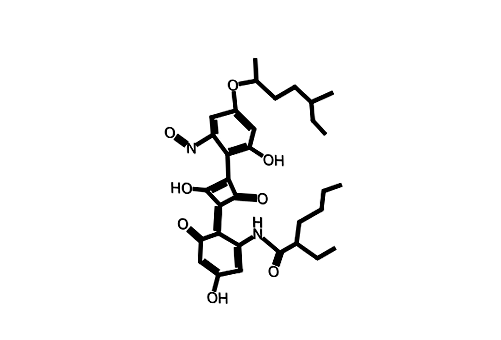 CCCCC(CC)C(=O)NC1=CC(O)=CC(=O)/C1=C1/C(=O)C(c2c(O)cc(OC(C)CCC(C)CC)cc2N=O)=C1O